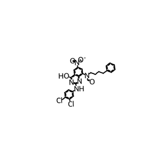 O=CN(CCCCc1ccccc1)c1cc([N+](=O)[O-])cc2c(O)nc(Nc3ccc(Cl)c(Cl)c3)nc12